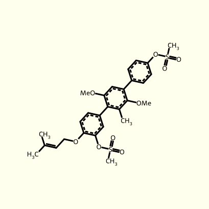 COc1cc(-c2ccc(OS(C)(=O)=O)cc2)c(OC)c(C)c1-c1ccc(OCC=C(C)C)c(OS(C)(=O)=O)c1